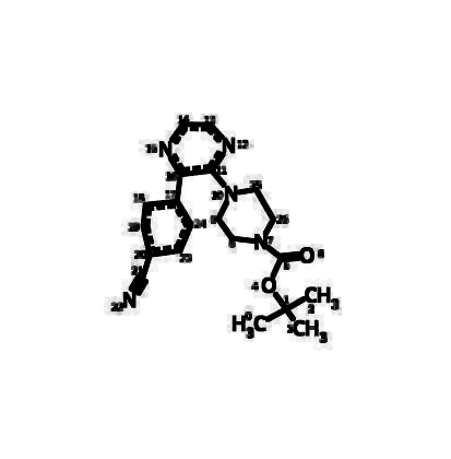 CC(C)(C)OC(=O)N1CCN(c2nccnc2-c2ccc(C#N)cc2)CC1